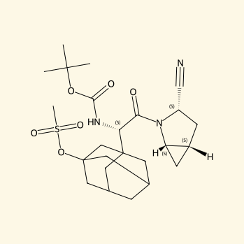 CC(C)(C)OC(=O)N[C@H](C(=O)N1[C@H](C#N)C[C@@H]2C[C@@H]21)C12CC3CC(CC(OS(C)(=O)=O)(C3)C1)C2